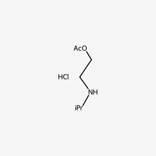 CC(=O)OCCNC(C)C.Cl